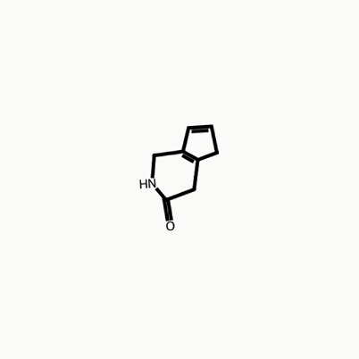 O=C1CC2=C(C=CC2)CN1